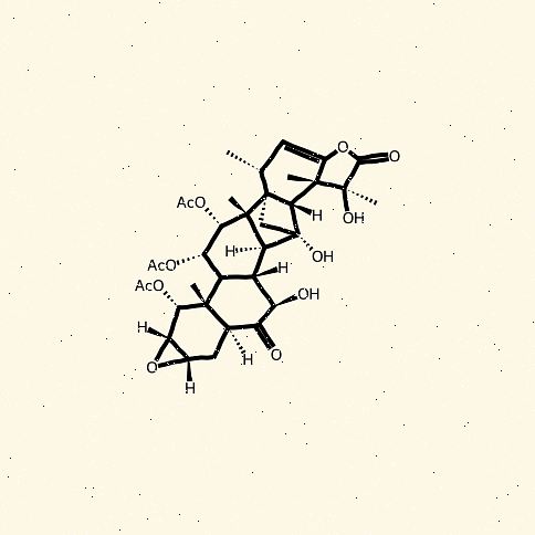 CC(=O)O[C@H]1C2[C@H]([C@@H]3[C@@]4(O)C[C@@]5([C@H](C)C=C6OC(=O)[C@@](C)(O)[C@]6(C)[C@H]45)[C@@]3(C)[C@H]1OC(C)=O)[C@@H](O)C(=O)[C@H]1C[C@@H]3O[C@@H]3[C@H](OC(C)=O)[C@]21C